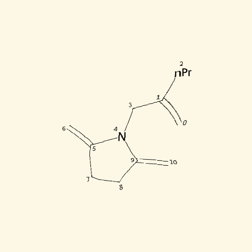 C=C(CCC)CN1C(=C)CCC1=C